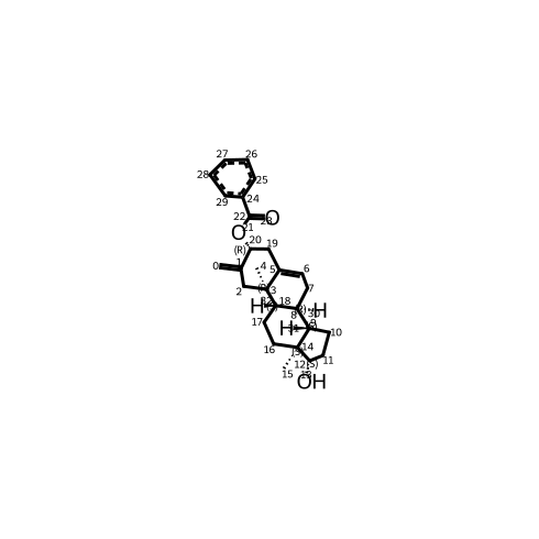 C=C1C[C@@]2(C)C(=CC[C@H]3[C@@H]4CC[C@H](O)[C@@]4(C)CC[C@@H]32)C[C@H]1OC(=O)c1ccccc1